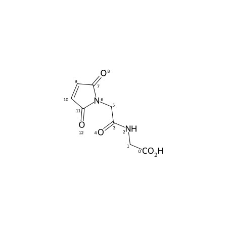 O=C(O)CNC(=O)CN1C(=O)C=CC1=O